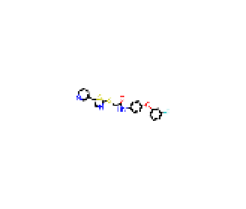 O=C(CSc1ncc(-c2cccnc2)s1)Nc1ccc(Oc2cccc(F)c2)cc1